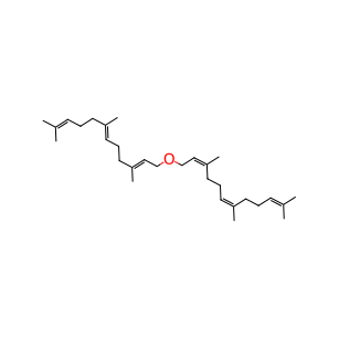 CC(C)=CCCC(C)=CCCC(C)=CCOCC=C(C)CCC=C(C)CCC=C(C)C